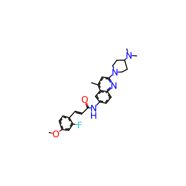 COc1ccc(/C=C/C(=O)Nc2ccc3nc(N4CCC(N(C)C)CC4)cc(C)c3c2)c(F)c1